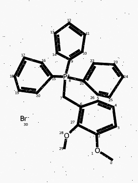 COc1cccc(C[P+](c2ccccc2)(c2ccccc2)c2ccccc2)c1OC.[Br-]